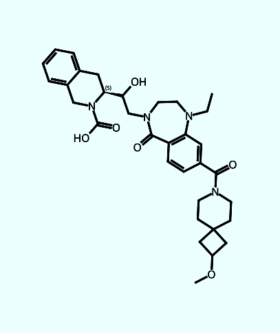 CCN1CCN(CC(O)[C@@H]2Cc3ccccc3CN2C(=O)O)C(=O)c2ccc(C(=O)N3CCC4(CC3)CC(OC)C4)cc21